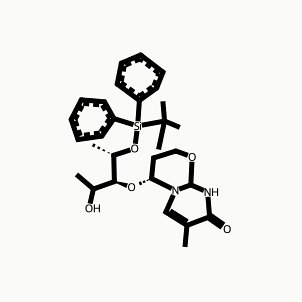 CC1=CN2C(NC1=O)OCC[C@H]2O[C@@H](C(C)O)[C@H](C)O[Si](c1ccccc1)(c1ccccc1)C(C)(C)C